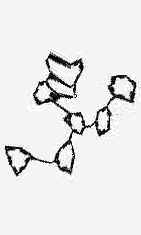 c1ccc(-c2cccc(-c3cc(-c4cccc(-c5ccccc5)c4)cc(-c4cccc5c4sc4ccccc45)c3)c2)cc1